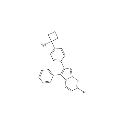 CC(=O)c1ccn2c(-c3ccccc3)c(-c3ccc(C4(N)CCC4)cc3)nc2c1